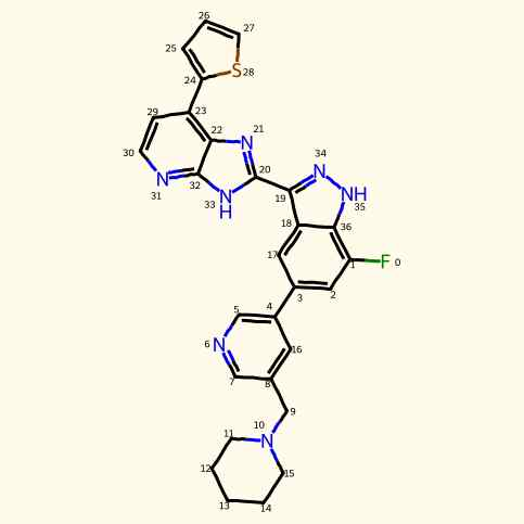 Fc1cc(-c2cncc(CN3CCCCC3)c2)cc2c(-c3nc4c(-c5cccs5)ccnc4[nH]3)n[nH]c12